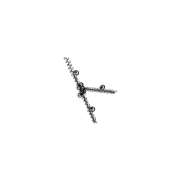 CCCCCCCCCC(C=O)CCCCCCCC(=O)OC(COC(=O)CCCCCCCCC(C=O)CCCCCCCC)OC(=O)CCCCCCCCC(C=O)CCCCCCCC